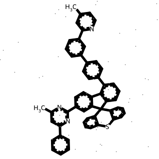 Cc1ccnc(-c2cccc(-c3ccc(-c4cccc5c4-c4ccc(-c6nc(C)cc(-c7ccccc7)n6)cc4C54c5ccccc5Sc5ccccc54)cc3)c2)c1